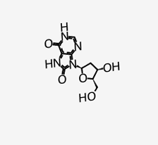 O=c1[nH]cnc2c1[nH]c(=O)n2[C@H]1C[C@@H](O)[C@@H](CO)O1